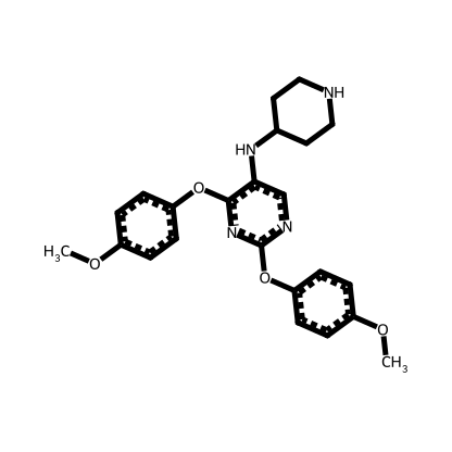 COc1ccc(Oc2ncc(NC3CCNCC3)c(Oc3ccc(OC)cc3)n2)cc1